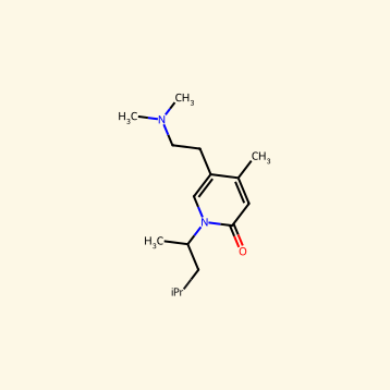 Cc1cc(=O)n(C(C)CC(C)C)cc1CCN(C)C